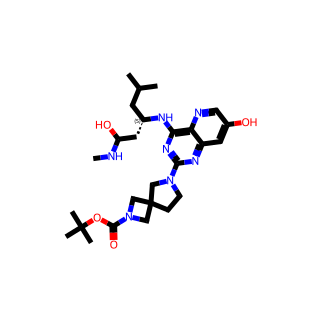 CNC(O)C[C@H](CC(C)C)Nc1nc(N2CCC3(CN(C(=O)OC(C)(C)C)C3)C2)nc2cc(O)cnc12